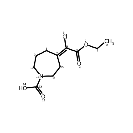 CCOC(=O)C(Cl)=C1CCCN(C(=O)O)CC1